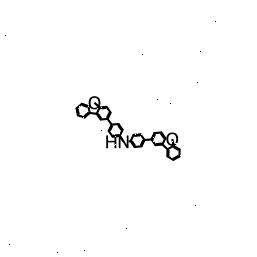 c1ccc2c(c1)oc1ccc(-c3ccc(Nc4ccc(-c5ccc6oc7ccccc7c6c5)cc4)cc3)cc12